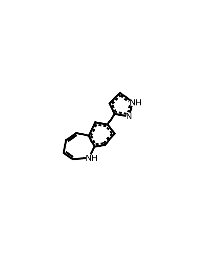 C1=CNc2ccc(-c3cc[nH]n3)cc2C=C1